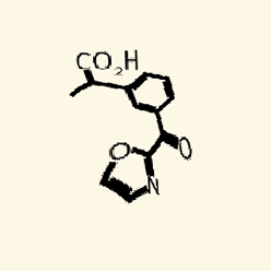 CC(C(=O)O)c1cccc(C(=O)c2ncco2)c1